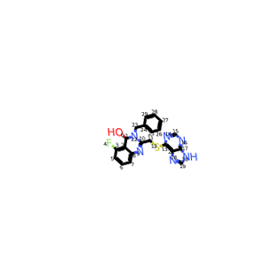 OC1c2c(F)cccc2N=C(CSc2ncnc3[nH]cnc23)N1Cc1ccccc1